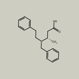 C[C@@H](CC(=O)O)N(CCc1ccccc1)Cc1ccccc1